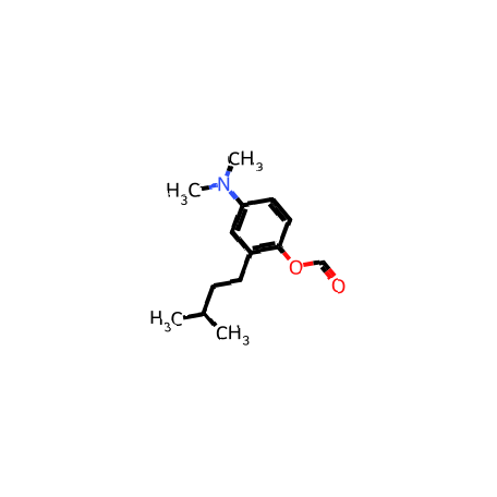 CC(C)CCc1cc(N(C)C)ccc1OC=O